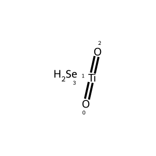 [O]=[Ti]=[O].[SeH2]